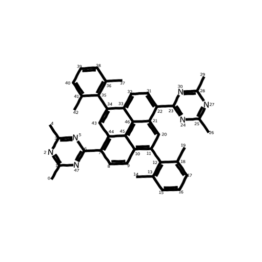 Cc1nc(C)nc(-c2ccc3c(-c4c(C)cccc4C)cc4c(-c5nc(C)nc(C)n5)ccc5c(-c6c(C)cccc6C)cc2c3c45)n1